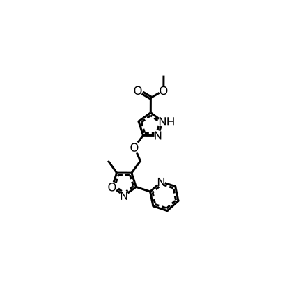 COC(=O)c1cc(OCc2c(-c3ccccn3)noc2C)n[nH]1